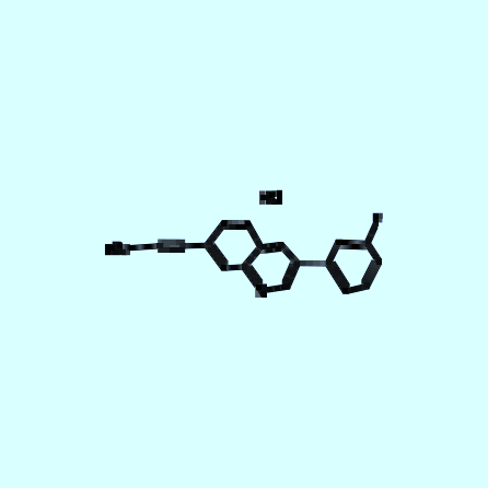 CCCCC#Cc1ccc2cc(-c3cccc(F)c3)cnc2c1.Cl